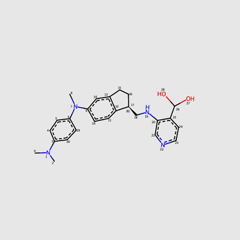 CN(C)c1ccc(N(C)c2ccc3c(c2)CC[C@H]3CNc2cnccc2C(O)O)cc1